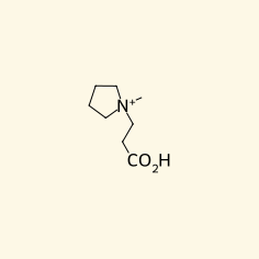 C[N+]1(CCC(=O)O)CCCC1